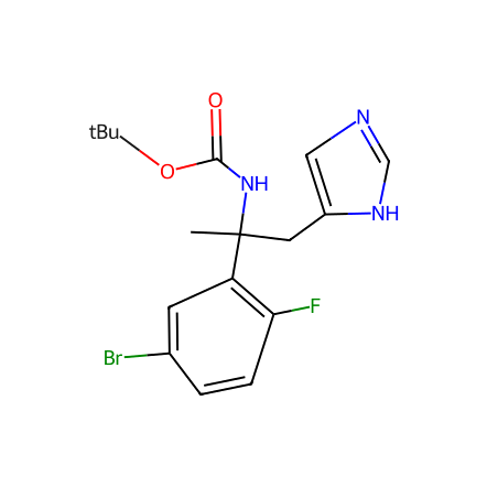 CC(C)(C)OC(=O)NC(C)(Cc1cnc[nH]1)c1cc(Br)ccc1F